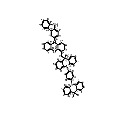 CC1(C)c2ccccc2N(c2ccc(N3c4ccccc4C(C)(Cc4cccc5c4Oc4ccccc4N5c4ccc5[nH]c6ccccc6c5c4)c4ccccc43)cc2)c2ccccc21